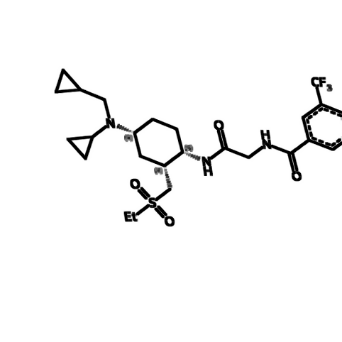 CCS(=O)(=O)C[C@@H]1C[C@H](N(CC2CC2)C2CC2)CC[C@@H]1NC(=O)CNC(=O)c1cccc(C(F)(F)F)c1